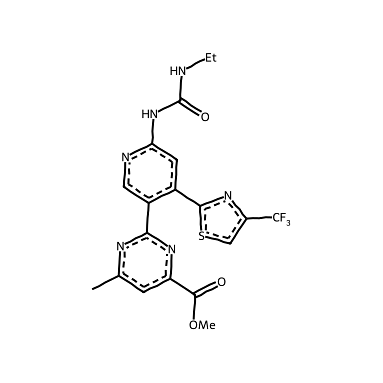 CCNC(=O)Nc1cc(-c2nc(C(F)(F)F)cs2)c(-c2nc(C)cc(C(=O)OC)n2)cn1